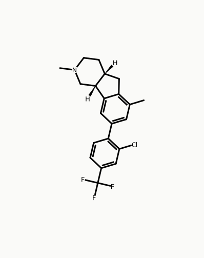 Cc1cc(-c2ccc(C(F)(F)F)cc2Cl)cc2c1C[C@H]1CCN(C)C[C@@H]21